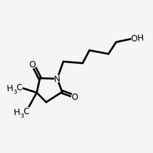 CC1(C)CC(=O)N(CCCCCO)C1=O